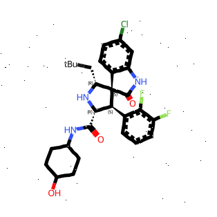 CC(C)(C)C[C@H]1N[C@@H](C(=O)NC2CCC(O)CC2)[C@H](c2cccc(F)c2F)[C@@]12C(=O)Nc1cc(Cl)ccc12